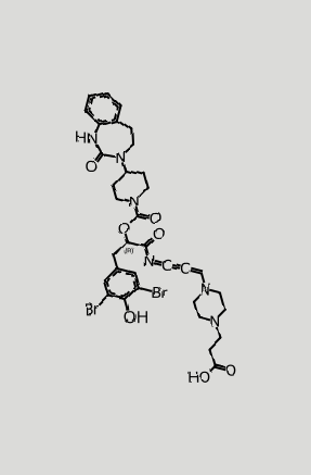 O=C(O)CCN1CCN(C=C=C=NC(=O)[C@@H](Cc2cc(Br)c(O)c(Br)c2)OC(=O)N2CCC(N3CCc4ccccc4NC3=O)CC2)CC1